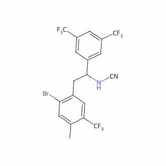 Cc1cc(Br)c(CC(NC#N)c2cc(C(F)(F)F)cc(C(F)(F)F)c2)cc1C(F)(F)F